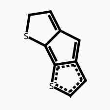 [c]1cc2c(s1)=C1S[CH]C=C1C=2